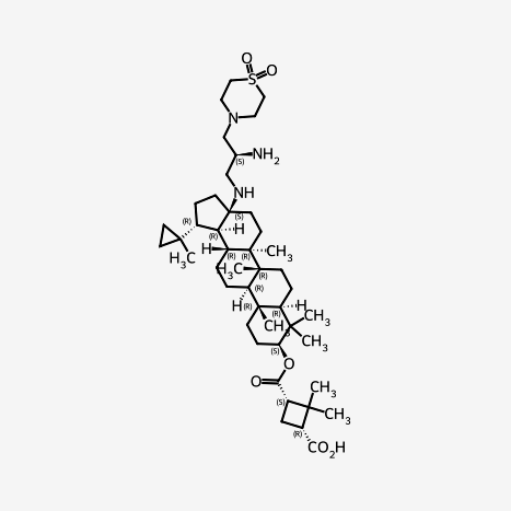 CC1([C@@H]2CC[C@]3(NC[C@H](N)CN4CCS(=O)(=O)CC4)CC[C@]4(C)[C@H](CC[C@@H]5[C@@]6(C)CC[C@H](OC(=O)[C@H]7C[C@@H](C(=O)O)C7(C)C)C(C)(C)[C@@H]6CC[C@]54C)[C@@H]23)CC1